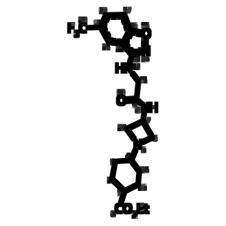 CCOC(=O)C1CCC(N2CC(NC(=O)CNc3noc4ccc(C(F)(F)F)cc34)C2)CC1